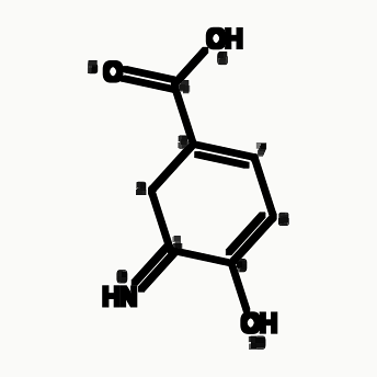 N=C1CC(C(=O)O)=CC=C1O